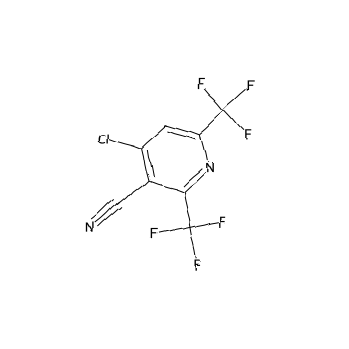 N#Cc1c(Cl)cc(C(F)(F)F)nc1C(F)(F)F